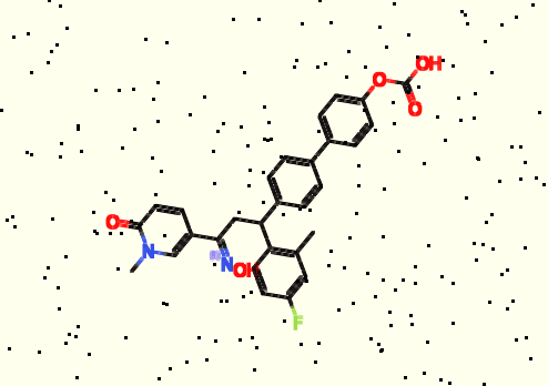 Cc1cc(F)ccc1C(C/C(=N\O)c1ccc(=O)n(C)c1)c1ccc(-c2ccc(OC(=O)O)cc2)cc1